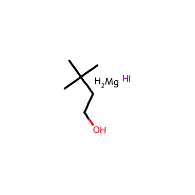 CC(C)(C)CCO.I.[MgH2]